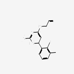 Cc1cccc(C2C=C(NCC=O)N=C(N)N2)c1C